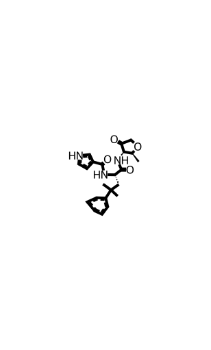 C[C@@H]1OCC(=O)[C@H]1NC(=O)[C@H](CC(C)(C)c1ccccc1)NC(=O)c1cc[nH]c1